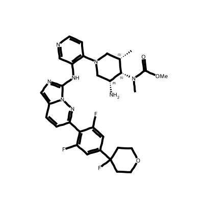 COC(=O)N(C)[C@@H]1[C@H](N)CN(c2ccncc2Nc2ncc3ccc(-c4c(F)cc(C5(F)CCOCC5)cc4F)nn23)C[C@@H]1C